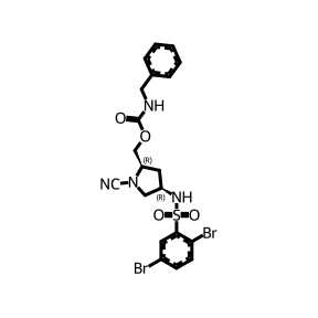 N#CN1C[C@H](NS(=O)(=O)c2cc(Br)ccc2Br)C[C@@H]1COC(=O)NCc1ccccc1